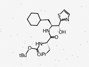 CC(C)C[C@H](NC(=O)OC(C)(C)C)C(=O)N[C@@H](CC1CCCCC1)[C@@H](O)c1nccs1